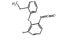 CCc1ccccc1Sc1c(I)cccc1N=C=O